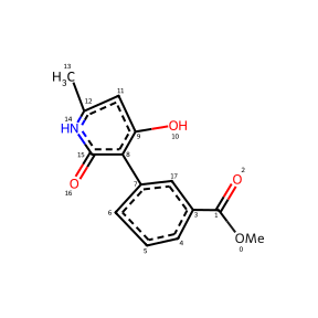 COC(=O)c1cccc(-c2c(O)cc(C)[nH]c2=O)c1